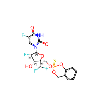 O=c1[nH]c(=O)n([C@@H]2O[C@@](COP3(=S)OCc4ccccc4O3)(C(F)F)[C@H](O)[C@H]2F)cc1F